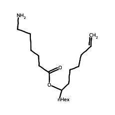 C=CCCCCC(CCCCCC)OC(=O)CCCCCN